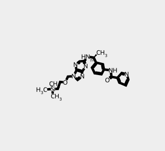 C[C@H](Nc1cnc2c(ncn2COCC[Si](C)(C)C)n1)c1cccc(NC(=O)c2cccnc2)c1